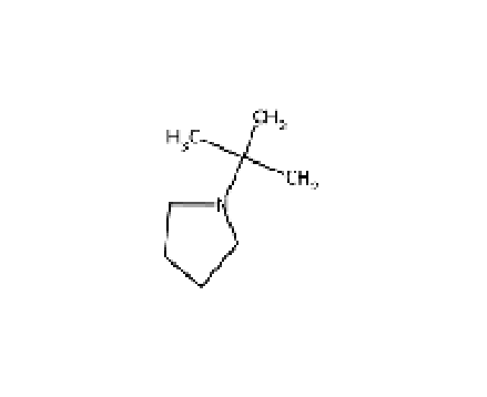 [CH2]C(C)(C)N1CCCC1